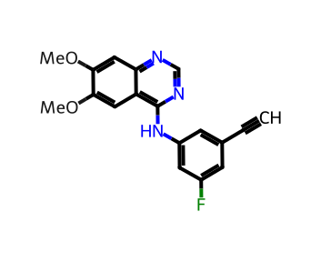 C#Cc1cc(F)cc(Nc2ncnc3cc(OC)c(OC)cc23)c1